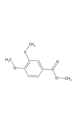 COC(=O)c1ccc(OC)c(SC)c1